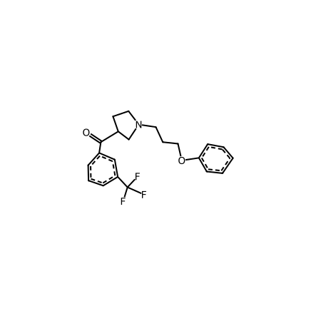 O=C(c1cccc(C(F)(F)F)c1)C1CCN(CCCOc2ccccc2)C1